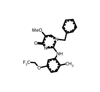 COc1cn(Cc2ccccc2)c(Nc2cc(OCC(F)(F)F)ccc2C)nc1=O